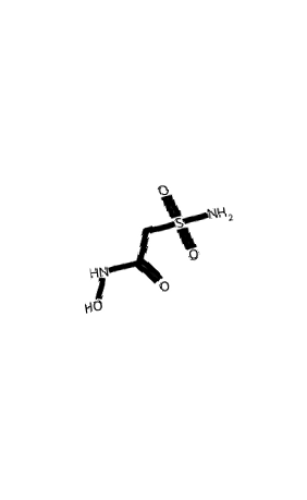 NS(=O)(=O)CC(=O)NO